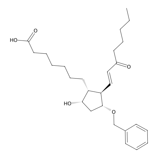 CCCCCC(=O)C=C[C@@H]1[C@@H](CCCCCCC(=O)O)[C@@H](O)C[C@H]1OCc1ccccc1